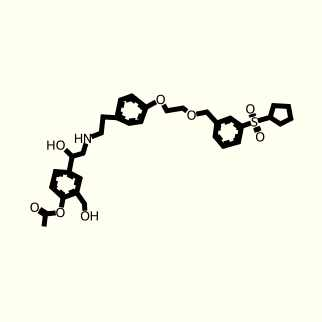 CC(=O)Oc1ccc(C(O)CNCCc2ccc(OCCOCc3cccc(S(=O)(=O)C4CCCC4)c3)cc2)cc1CO